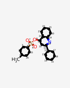 Cc1ccc(S(=O)(=O)Oc2cc(-c3ccccc3)nc3ccccc23)cc1